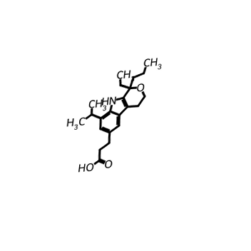 CCCC1(CC)OCCc2c1[nH]c1c(C(C)C)cc(CCC(=O)O)cc21